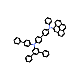 c1ccc(-c2ccc(N(c3ccc(-c4ccc(N(c5ccccc5)c5cc6cccc7ccc8cccc5c8c76)cc4)cc3)c3cc(-c4ccccc4)cc(-c4ccccc4)c3)cc2)cc1